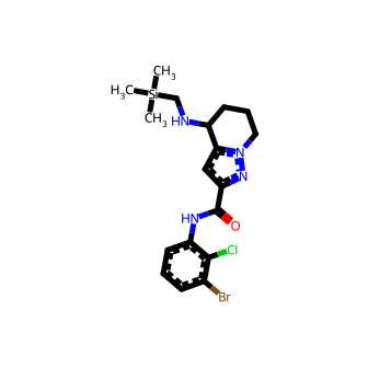 C[Si](C)(C)CNC1CCCn2nc(C(=O)Nc3cccc(Br)c3Cl)cc21